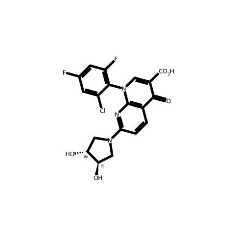 O=C(O)c1cn(-c2c(F)cc(F)cc2Cl)c2nc(N3C[C@@H](O)[C@H](O)C3)ccc2c1=O